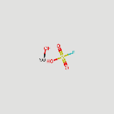 O=NO.O=S(=O)(O)F